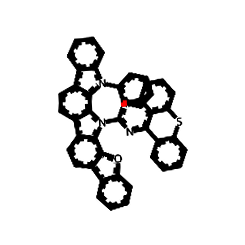 c1ccc(-n2c3ccccc3c3ccc4c5ccc6c7ccccc7oc6c5n(-c5nc6c7c(cccc7n5)Sc5ccccc5-6)c4c32)cc1